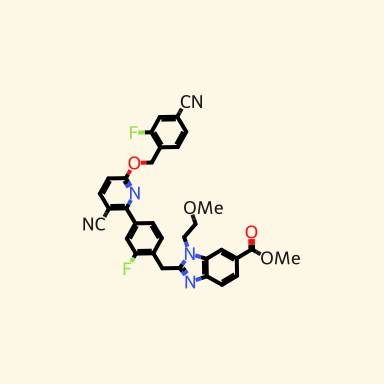 COCCn1c(Cc2ccc(-c3nc(OCc4ccc(C#N)cc4F)ccc3C#N)cc2F)nc2ccc(C(=O)OC)cc21